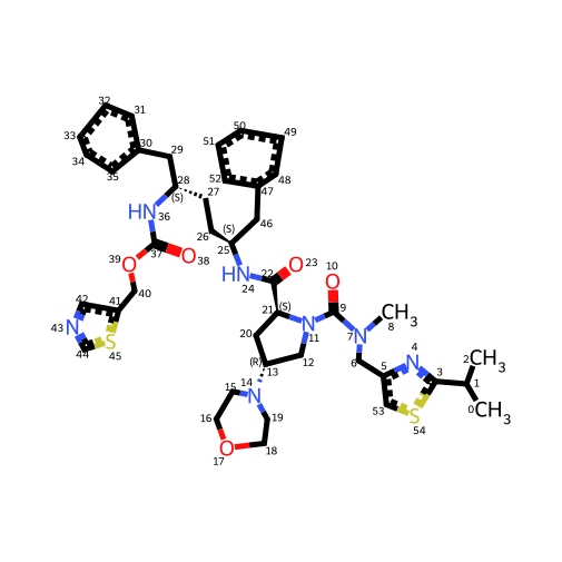 CC(C)c1nc(CN(C)C(=O)N2C[C@H](N3CCOCC3)C[C@H]2C(=O)N[C@@H](CC[C@@H](Cc2ccccc2)NC(=O)OCc2cncs2)Cc2ccccc2)cs1